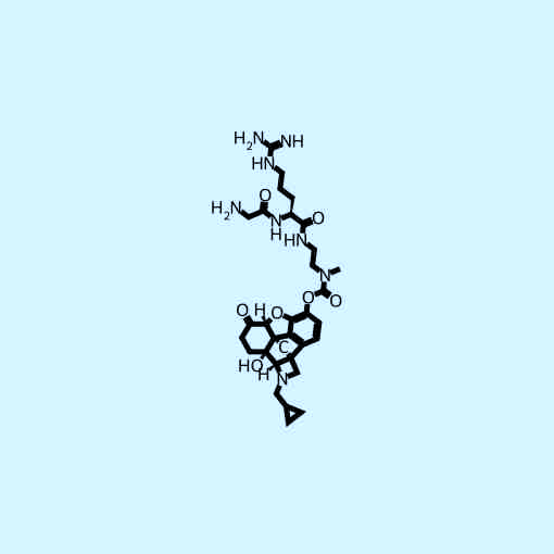 CN(CCNC(=O)[C@H](CCCNC(=N)N)NC(=O)CN)C(=O)Oc1ccc2c3c1O[C@H]1C(=O)CC[C@@]4(O)[C@H]5N(CC6CC6)CC25C[C@]314